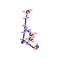 CC1O[C@H](OCCNC(=O)CCCCCNC(=O)CN(CC(=O)NCCCCCNC(CNCC(=O)NCCCCCC(=O)ON2C(=O)CCC2=O)=C2CCC2)C(=O)NCCN[C@@H]2CC(O[C@H]3OC(C)[C@@H](O)CC3O)[C@H](O)C(CO)O2)C(O)C[C@@H]1O